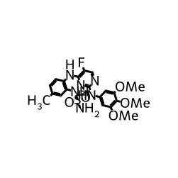 COc1cc(Nc2ncc(F)c(Nc3ccc(C)cc3NS(N)(=O)=O)n2)cc(OC)c1OC